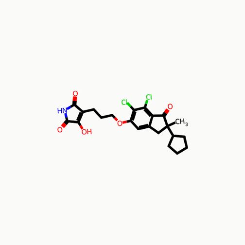 CC1(C2CCCC2)Cc2cc(OCCCC3=C(O)C(=O)NC3=O)c(Cl)c(Cl)c2C1=O